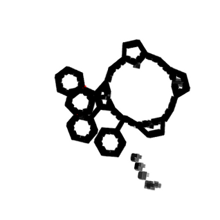 C1=Cc2cc3c(-c4ccccc4)c(-c4ccccc4)c(c(-c4ccccc4)c4nc(cc5ccc(cc1n2)[nH]5)C=C4)n3-c1ccccc1.[Cl-].[Cl-].[Cl-].[Rh+3]